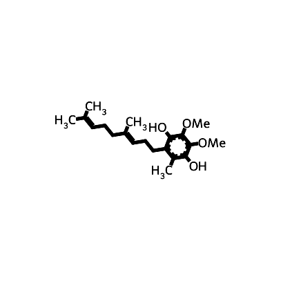 COc1c(O)c(C)c(CC/C=C(\C)CCC=C(C)C)c(O)c1OC